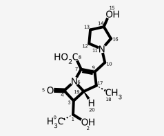 C[C@@H](O)C1C(=O)N2C(C(=O)O)=C(CN3CCC(O)C3)[C@H](C)[C@H]12